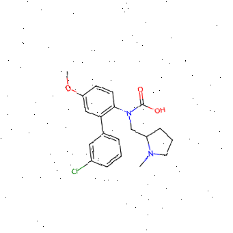 COc1ccc(N(CC2CCCN2C)C(=O)O)c(-c2cccc(Cl)c2)c1